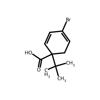 CC(C)(C)C1(C(=O)O)C=CC(Br)=CC1